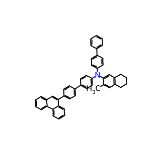 Cc1cc2c(cc1N(c1ccc(-c3ccccc3)cc1)c1ccc(-c3ccc(-c4cc5ccccc5c5ccccc45)cc3)cc1)CCCC2